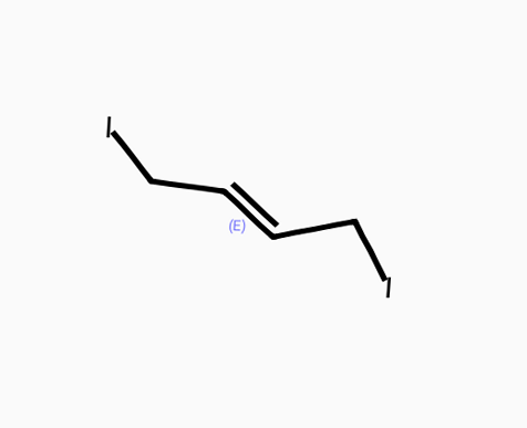 IC/C=C/CI